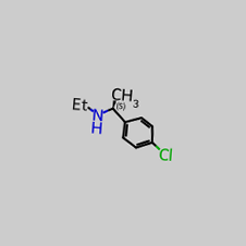 CCN[C@@H](C)c1ccc(Cl)cc1